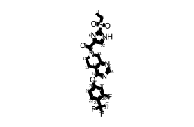 CCS(=O)(=O)c1nc(C(=O)N2CCc3c(ncnc3Oc3ccc(C(F)(F)F)c(F)c3)C2)c[nH]1